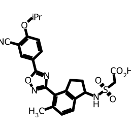 Cc1ccc2c(c1-c1noc(-c3ccc(OC(C)C)c(C#N)c3)n1)CCC2NS(=O)(=O)CC(=O)O